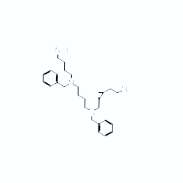 NCCCCN(CCCCN(Cc1ccccc1)CC1SC1CCN)Cc1ccccc1